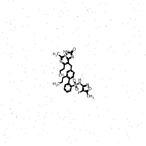 CCCc1cc(Cc2c(CCC)nc(C)n3[nH]c(=O)nc23)ccc1-c1ccccc1S(=O)(=O)Nc1noc(C)c1F